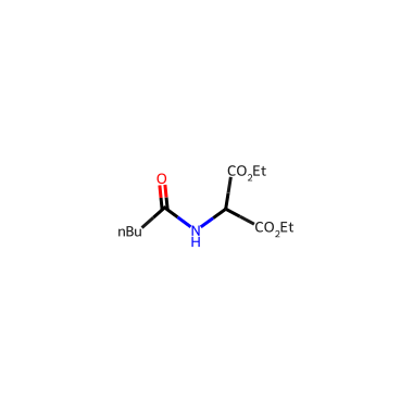 CCCCC(=O)NC(C(=O)OCC)C(=O)OCC